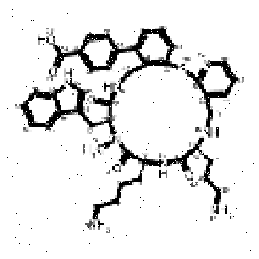 CN1C(=O)[C@H](CCCCN)NC(=O)[C@H](CCCN)NCc2cccnc2Sc2cccc(-c3ccc(C(=O)O)cc3)c2CNC(=O)[C@@H]1Cc1c[nH]c2ccccc12